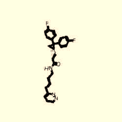 O=C(/C=C/[C@@H]1CC1(c1ccc(F)cc1)c1ccc(F)cc1)NCCCCc1cccnn1